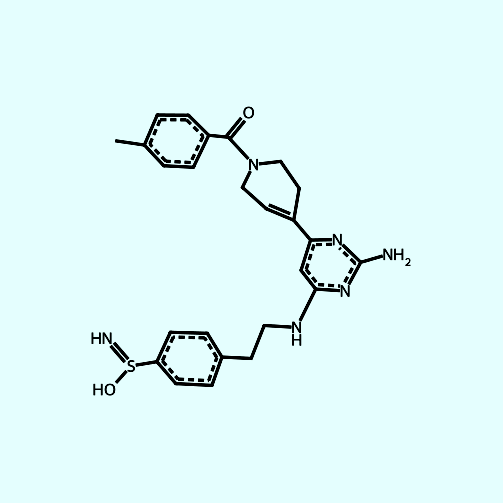 Cc1ccc(C(=O)N2CC=C(c3cc(NCCc4ccc(S(=N)O)cc4)nc(N)n3)CC2)cc1